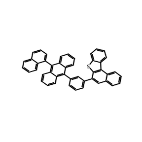 c1cc(-c2c3ccccc3c(-c3cccc4ccccc34)c3ccccc23)cc(-c2cc3ccccc3c3c2sc2ccccc23)c1